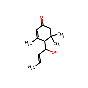 CC=CC(O)C1C(C)=CC(=O)CC1(C)C